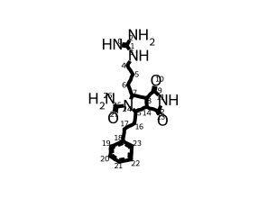 N=C(N)NCCCC1C2C(=O)NC(=O)C2C(CCc2ccccc2)N1C(N)=O